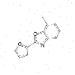 Cc1cccc2nc(-c3ccco3)oc12